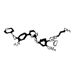 COc1cc(Nc2nccc(-c3ccc(OC4CCOCC4)c(N)c3)n2)ccc1[S+]([O-])NCCCO